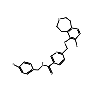 O=C(NCc1ccc(F)cc1)c1ccc(CSc2c(Cl)ccc3c2CCNCC3)nc1